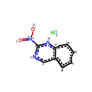 Cl.O=[N+]([O-])c1ncc2ccccc2n1